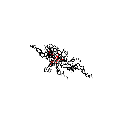 CCN(CCOC)C(=O)CN(CCCn1cc(C2(O)CCC3C4CCc5cc(O)ccc5C4CCC32C)nn1)C(=O)CN(CCOC)C(=O)CN(CCOC)C(=O)CN(CCCn1cc(C2(O)CCC3C4CCc5cc(O)ccc5C4CCC32C)nn1)C(=O)CN(CCOC)C(=O)CN(CCOC)C(=O)CN(CCCn1cc(C2(O)CCC3C4CCc5cc(O)ccc5C4CCC32C)nn1)C(=O)CN(CCOC)C(C)=O